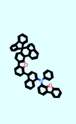 c1ccc(N(c2ccc(-c3cccc4c3oc3c5c(ccc34)C3(c4ccccc4-c4ccccc43)c3cccc4cccc-5c34)c3ccccc23)c2cccc3c2oc2ccccc23)cc1